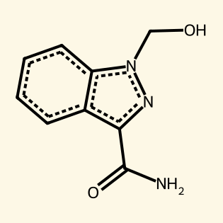 NC(=O)c1nn(CO)c2ccccc12